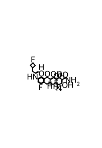 C=C(CC1CC(F)C1)Nc1cc(F)c2c(c1O)C(=O)C1=C(O)[C@]3(O)C(=O)C(C(N)=O)=C(O)[C@@H](N(C)C)[C@@H]3C[C@@H]1C2